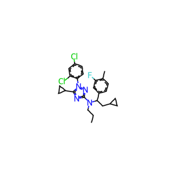 CCCN(c1nc(C2CC2)n(-c2ccc(Cl)cc2Cl)n1)C(CC1CC1)c1ccc(C)c(F)c1